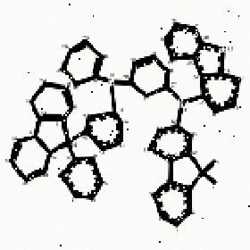 CC1(C)c2ccccc2-c2ccc(N(c3cccc4oc5ccccc5c34)C3CC=CC(N(C4=CC=CCC4)c4cccc(C5(c6ccccc6)C6=C(CCC=C6)C6C=CC=CC65)c4)C3)cc21